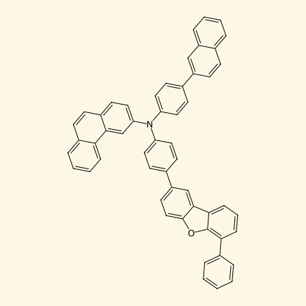 c1ccc(-c2cccc3c2oc2ccc(-c4ccc(N(c5ccc(-c6ccc7ccccc7c6)cc5)c5ccc6ccc7ccccc7c6c5)cc4)cc23)cc1